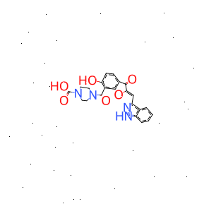 O=C1C(=Cc2n[nH]c3ccccc23)Oc2c1ccc(O)c2C(=O)N1CCN(C(=O)O)CC1